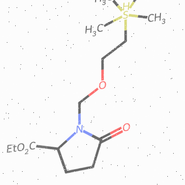 CCOC(=O)C1CCC(=O)N1COCC[SH](C)(C)(C)C